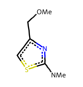 CNc1nc(COC)cs1